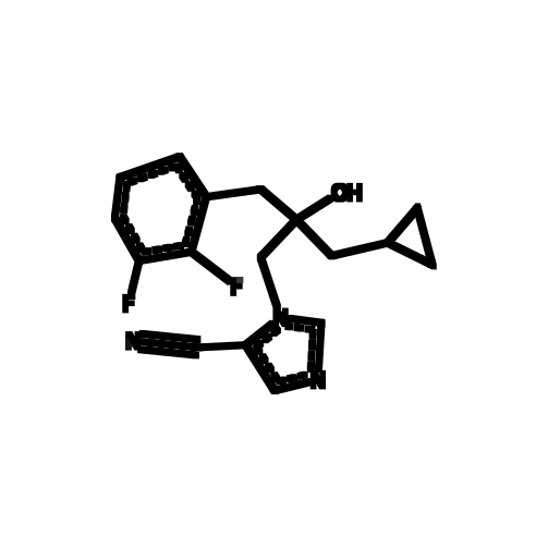 N#Cc1cncn1CC(O)(Cc1cccc(F)c1F)CC1CC1